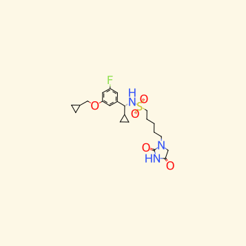 O=C1CN(CCCCCS(=O)(=O)N[C@@H](c2cc(F)cc(OCC3CC3)c2)C2CC2)C(=O)N1